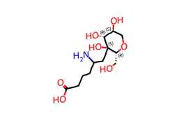 NC(CCCC(=O)O)C[C@]1(O)[C@H](O)[C@@H](O)CO[C@@H]1CO